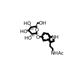 CC(=O)NCCc1c[nH]c2ccc(O[C@H]3O[C@H](CO)[C@@H](O)[C@H](O)[C@H]3O)cc12